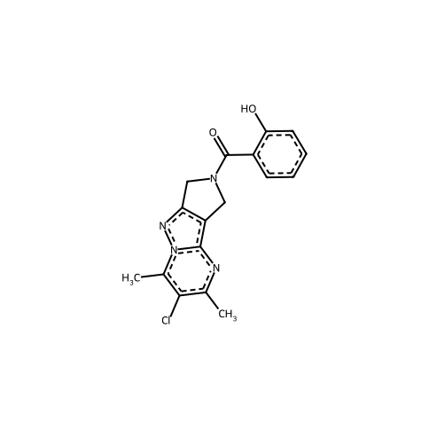 Cc1nc2c3c(nn2c(C)c1Cl)CN(C(=O)c1ccccc1O)C3